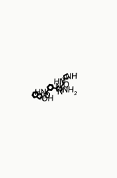 Nc1ncc(-c2cccc(C(=O)N[C@H]3c4ccccc4C[C@H]3O)c2)nc1C(=O)N[C@H]1CCNC1